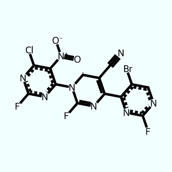 N#CC1=C(c2nc(F)ncc2Br)N=C(F)N(c2nc(F)nc(Cl)c2[N+](=O)[O-])[CH]1